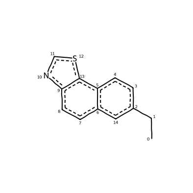 CCc1ccc2c(ccc3ncsc32)c1